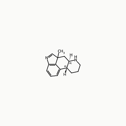 CC12C=Nc3cccc(c31)[C@H]1CCCN[C@@H]1C2